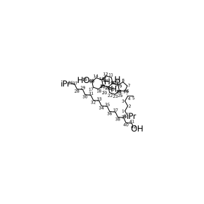 CC(C)CCCC(C)[C@H]1CC[C@H]2[C@@H]3CC=C4C[C@@H](O)CC[C@]4(C)[C@H]3CC[C@]12C.CC(C)CCCCCCCCCCCCCCCO